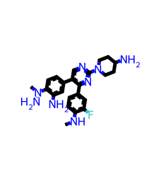 CNc1ccc(-c2nc(N3CCC(N)CC3)ncc2-c2ccc(N(C)N)c(N)c2)cc1F